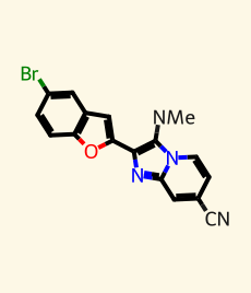 CNc1c(-c2cc3cc(Br)ccc3o2)nc2cc(C#N)ccn12